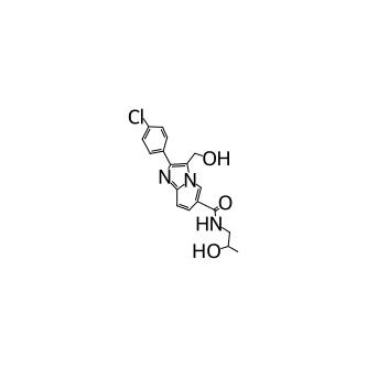 CC(O)CNC(=O)c1ccc2nc(-c3ccc(Cl)cc3)c(CO)n2c1